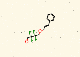 O=CC(F)(F)C(F)(F)COCC=Cc1ccccc1